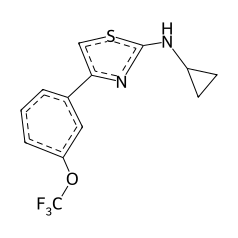 FC(F)(F)Oc1cccc(-c2csc(NC3CC3)n2)c1